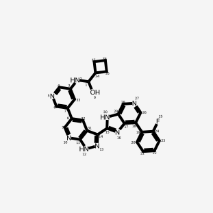 OC(Nc1cncc(-c2cnc3[nH]nc(-c4nc5c(-c6ccccc6F)cncc5[nH]4)c3c2)c1)C1CCC1